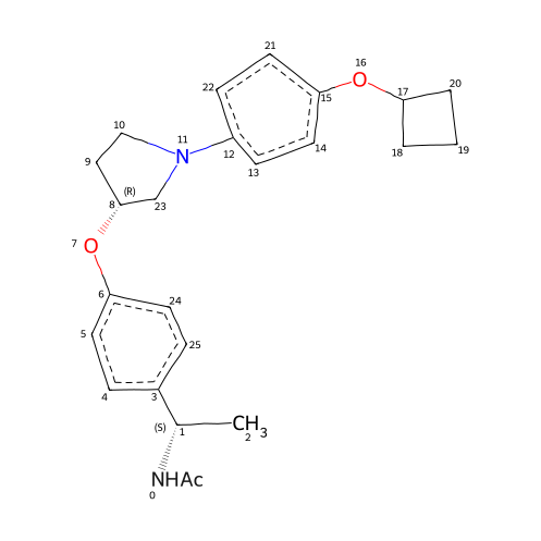 CC(=O)N[C@@H](C)c1ccc(O[C@@H]2CCN(c3ccc(OC4CCC4)cc3)C2)cc1